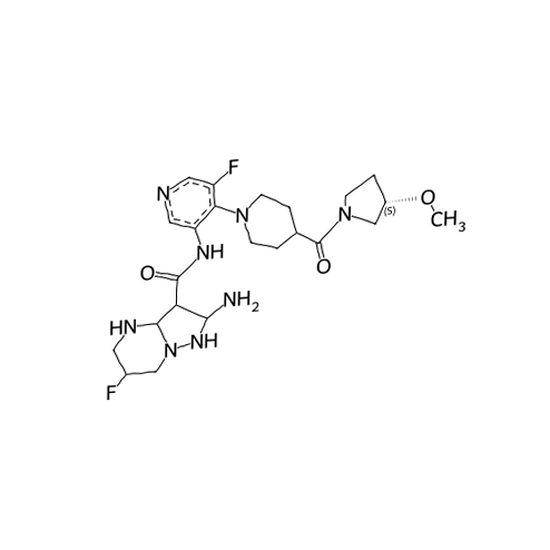 CO[C@H]1CCN(C(=O)C2CCN(c3c(F)cncc3NC(=O)C3C(N)NN4CC(F)CNC34)CC2)C1